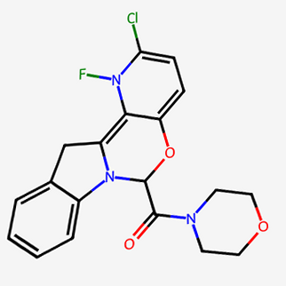 O=C(C1OC2=CC=C(Cl)N(F)C2=C2Cc3ccccc3N21)N1CCOCC1